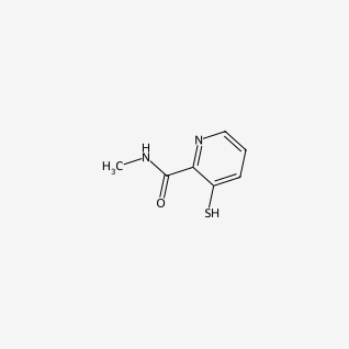 CNC(=O)c1ncccc1S